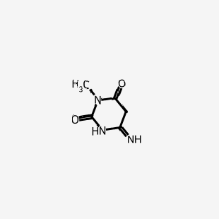 CN1C(=O)CC(=N)NC1=O